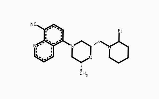 CCC1CCCCN1C[C@H]1CN(c2ccc(C#N)c3ncccc23)C[C@@H](C)O1